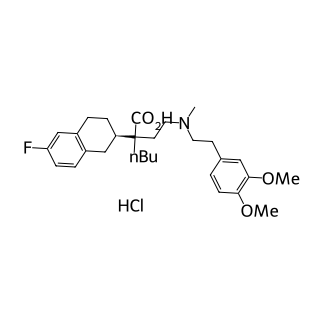 CCCCC(CCN(C)CCc1ccc(OC)c(OC)c1)(C(=O)O)[C@@H]1CCc2cc(F)ccc2C1.Cl